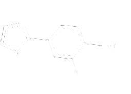 Cc1cc(-c2ncco2)ccc1C(=O)O